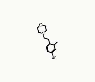 CC1C=C(Br)C=CC1CCN1CCOCC1